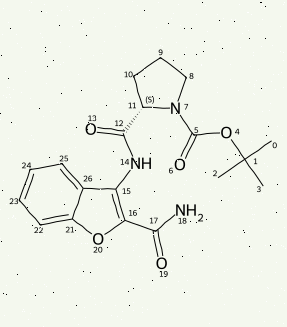 CC(C)(C)OC(=O)N1CCC[C@H]1C(=O)Nc1c(C(N)=O)oc2ccccc12